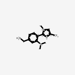 CN(C)c1cc(CN)ccc1-c1nc(C(F)(F)F)cn1C